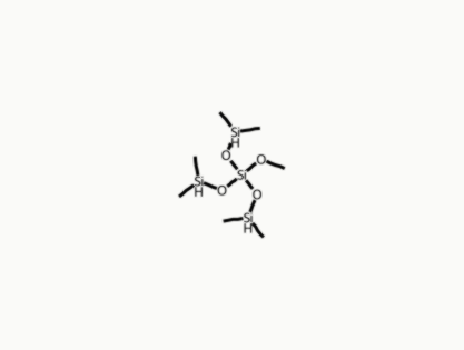 CO[Si](O[SiH](C)C)(O[SiH](C)C)O[SiH](C)C